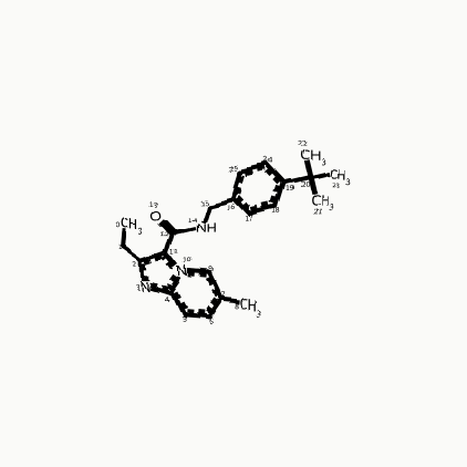 CCc1nc2ccc(C)cn2c1C(=O)NCc1ccc(C(C)(C)C)cc1